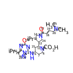 CC(C)Oc1nc(NC2CCN(C(=O)O)C(C3CCN(C(=O)/C=C/CN(C)C)C3)C2)n2ncc(C(C)C)c2n1